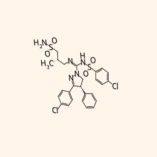 C[C@@H](C/N=C(/NS(=O)(=O)c1ccc(Cl)cc1)N1C[C@@H](c2ccccc2)C(c2ccc(Cl)cc2)=N1)CS(N)(=O)=O